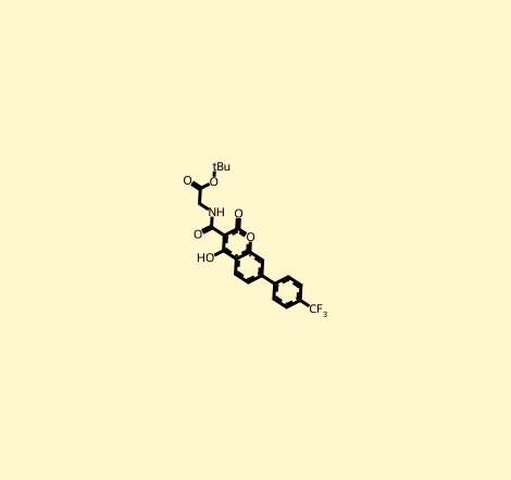 CC(C)(C)OC(=O)CNC(=O)c1c(O)c2ccc(-c3ccc(C(F)(F)F)cc3)cc2oc1=O